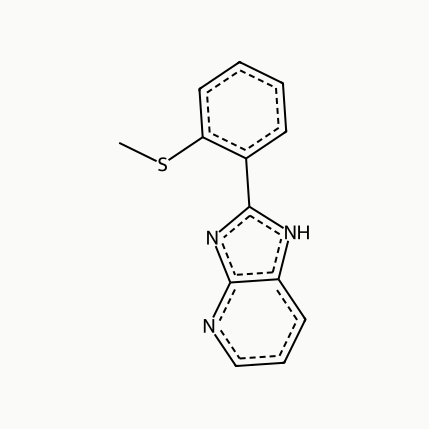 CSc1ccccc1-c1nc2ncccc2[nH]1